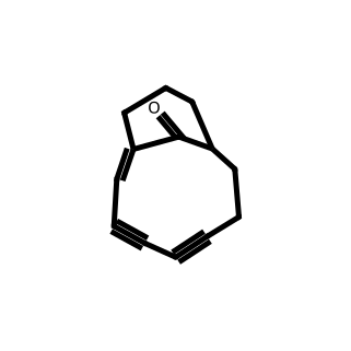 O=C1C2=CC#CC#CCCC1CCC2